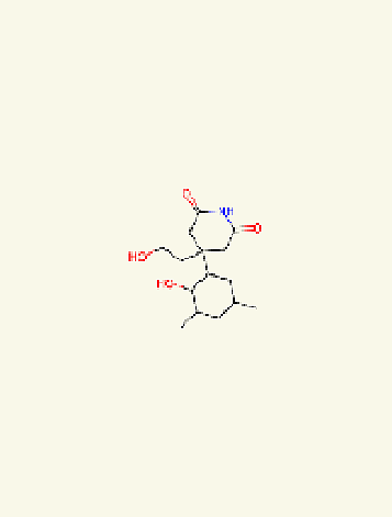 CC1CC(C)C(O)C(C2(CCO)CC(=O)NC(=O)C2)C1